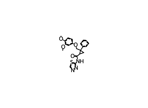 COc1ccc(OCC2(c3ccccc3)CC2C(=O)Nc2nncs2)cc1OC